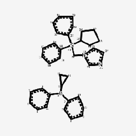 c1ccc(B(c2ccccc2)C2CC2)cc1.c1ccc([Si](Cn2ccnc2)(c2ccccc2)C2CCCC2)cc1